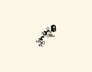 CC(C)COc1c(C(=O)NC2C3CC4CC(C3)CC2C4)cnn1/C=C/C(C)(C)NC(=O)N(C)C